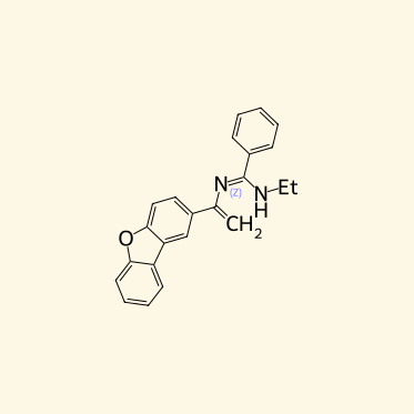 C=C(/N=C(\NCC)c1ccccc1)c1ccc2oc3ccccc3c2c1